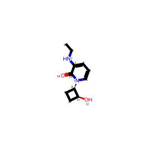 CCNc1cccn([C@H]2CC[C@@H]2O)c1=O